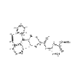 CC(C)(C)OC(=O)N[C@H](CO)CC(=O)N1CCC(=C2c3ccccc3C=Cc3ccccc32)CC1